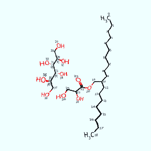 CCCCCCCCCCC(CCCCCCCC)COC(=O)C(O)CO.OC[C@@H](O)[C@@H](O)[C@H](O)[C@H](O)CO